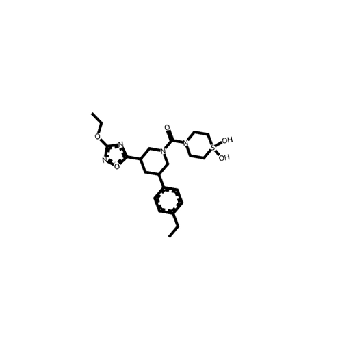 CCOc1noc(C2CC(c3ccc(CC)cc3)CN(C(=O)N3CCS(O)(O)CC3)C2)n1